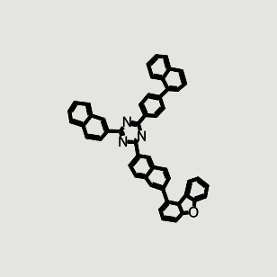 C1=CC2Oc3ccccc3C2C(c2ccc3cc(-c4nc(-c5ccc(-c6cccc7ccccc67)cc5)nc(-c5ccc6ccccc6c5)n4)ccc3c2)=C1